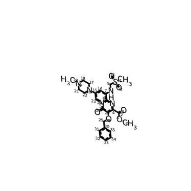 COC(=O)c1nc2c(NCS(C)(=O)=O)cc(N3CCN(C)CC3)cn2c(=O)c1OCc1ccccc1